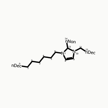 CCCCCCCCCCCCCCCCN1C=CN(CCCCCCCCCCC)C1CCCCCCCCC